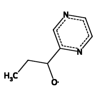 CCC([O])c1cnccn1